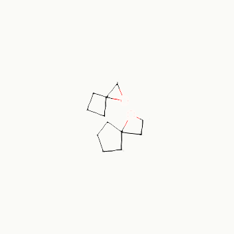 C1CC2(C1)CO2.C1CCC2(C1)CCO2